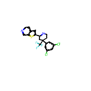 FC(F)(F)C1(c2cc(Cl)cc(Cl)c2)CCN=C(c2cc3ccncc3s2)C1